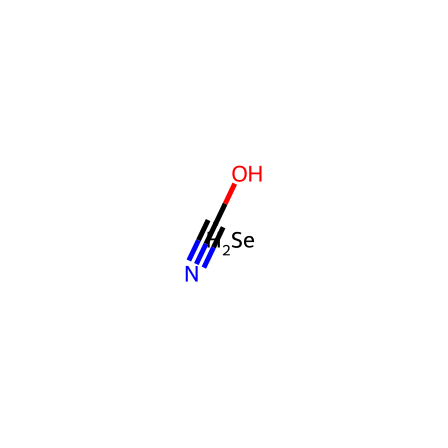 N#CO.[SeH2]